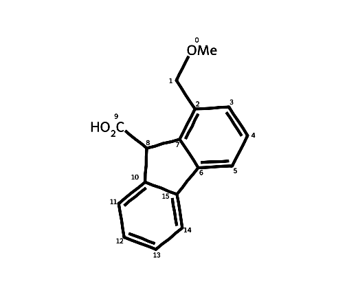 COCc1cccc2c1C(C(=O)O)c1ccccc1-2